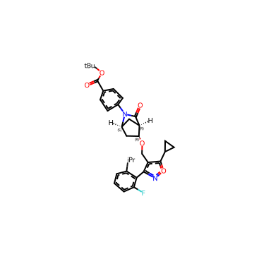 CC(C)c1cccc(F)c1-c1noc(C2CC2)c1CO[C@@H]1C[C@@H]2C[C@H]1C(=O)N2c1ccc(C(=O)OC(C)(C)C)cc1